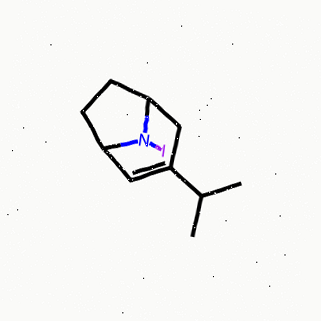 CC(C)C1=CC2CCC(C1)N2I